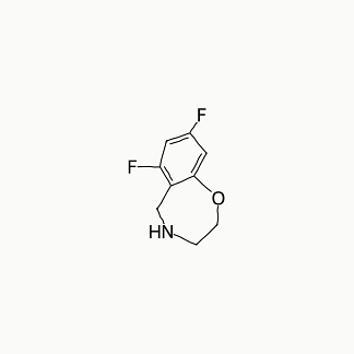 Fc1cc(F)c2c(c1)OCCNC2